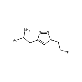 CC(=O)C(N)Cc1cn(CC[18F])nn1